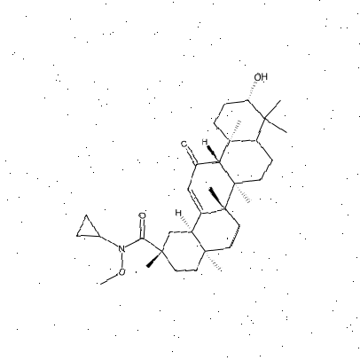 CON(C(=O)[C@@]1(C)CC[C@]2(C)CC[C@]3(C)C(=CC(=O)[C@@H]4[C@@]5(C)CC[C@H](O)C(C)(C)C5CC[C@]43C)[C@@H]2C1)C1CC1